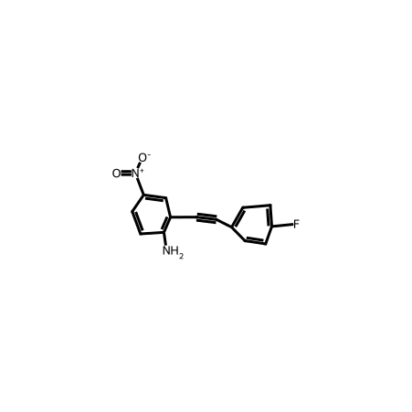 Nc1ccc([N+](=O)[O-])cc1C#Cc1ccc(F)cc1